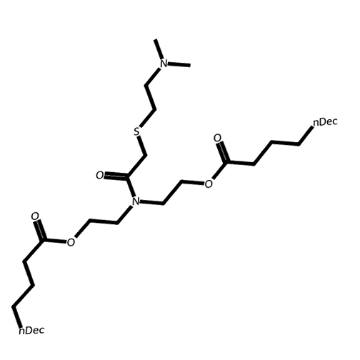 CCCCCCCCCCCCCC(=O)OCCN(CCOC(=O)CCCCCCCCCCCCC)C(=O)CSCCN(C)C